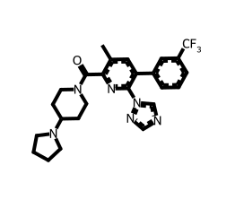 Cc1cc(-c2cccc(C(F)(F)F)c2)c(-n2cncn2)nc1C(=O)N1CCC(N2CCCC2)CC1